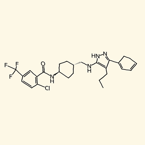 CCCc1c(C2=CC=CCC2)n[nH]c1NC[C@H]1CC[C@H](NC(=O)c2cc(C(F)(F)F)ccc2Cl)CC1